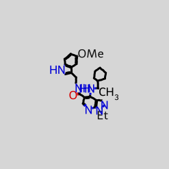 CCn1ncc2c(N[C@H](C)C3CCCCC3)c(C(=O)NCCc3c[nH]c4ccc(OC)cc34)cnc21